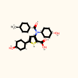 C[C@H]1CC[C@H](C(=O)N(c2cc(C3CCC(O)CC3)sc2C(=O)O)[C@H]2CC[C@H](O)CC2)CC1